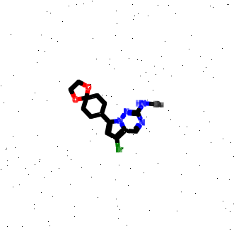 CCC(C)Nc1ncc2c(Br)cc(C3CCC4(CC3)OCCO4)n2n1